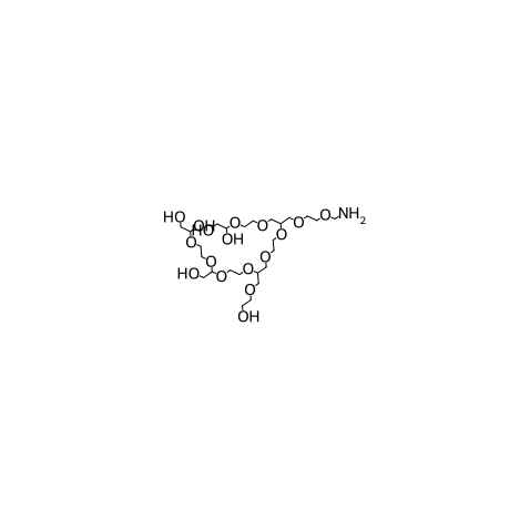 NCOCCOCC(COCCOC(O)CO)OCCOCC(COCCO)OCCOC(CO)OCCOC(O)CO